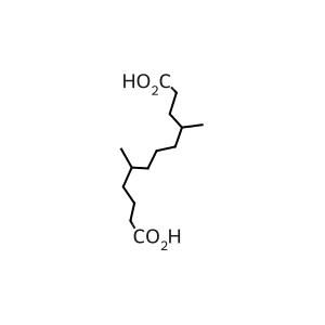 CC(CCCC(=O)O)CCCC(C)CCC(=O)O